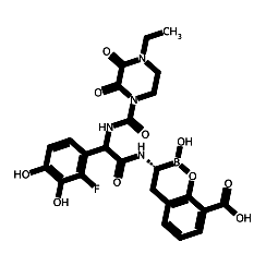 CCN1CCN(C(=O)NC(C(=O)N[C@H]2Cc3cccc(C(=O)O)c3OB2O)c2ccc(O)c(O)c2F)C(=O)C1=O